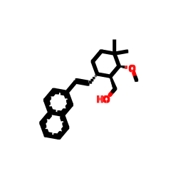 CO[C@@H]1[C@@H](CO)[C@H](C=Cc2ccc3ccccc3c2)CCC1(C)C